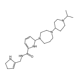 CC(C)N1CCC(N2CCCN(C3C=CC=C(C(=O)NCC4=CCCN4)N3)CC2)CC1